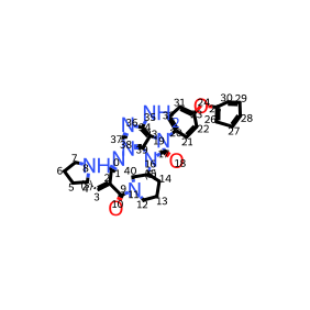 N#CC(=C[C@@H]1CCCN1)C(=O)N1CCC[C@H](n2c(=O)n(-c3ccc(Oc4ccccc4)cc3)c3c(N)ncnc32)C1